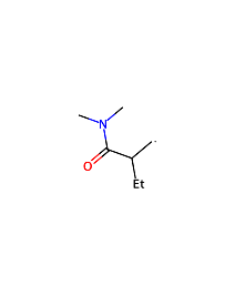 [CH2]C(CC)C(=O)N(C)C